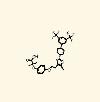 Cc1oc(-c2ccc(-c3cc(C(F)(F)F)cc(C(F)(F)F)c3)cc2)nc1CCOc1ccc(OC(C)(C)C(=O)O)cc1